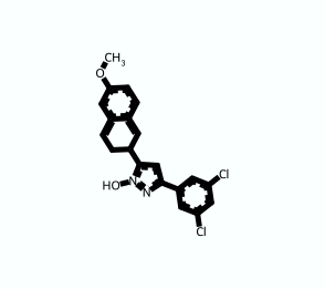 COc1ccc2c(c1)=CCC(c1cc(-c3cc(Cl)cc(Cl)c3)nn1O)C=2